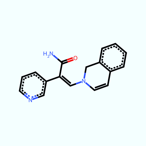 NC(=O)C(=CN1C=Cc2ccccc2C1)c1cccnc1